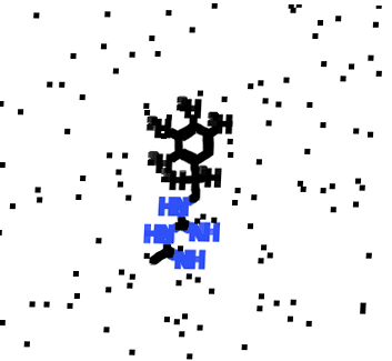 [2H]c1cc(C([2H])([2H])CNC(=N)NC(C)=N)c([2H])c([2H])c1[2H]